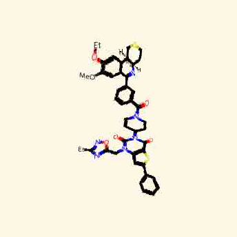 CCOc1cc2c(cc1OC)C(c1cccc(C(=O)N3CCC(n4c(=O)c5sc(-c6ccccc6)cc5n(Cc5nc(CC)no5)c4=O)CC3)c1)=N[C@@H]1CCSC[C@H]21